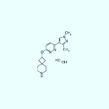 Cc1nn(C)cc1-c1ccc(OC2CC3(CCNCC3)C2)nn1.Cl.Cl